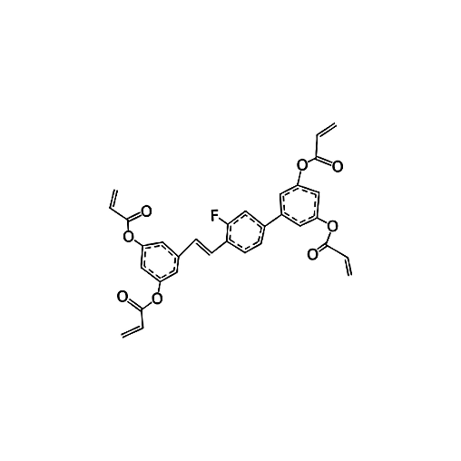 C=CC(=O)Oc1cc(/C=C/c2ccc(-c3cc(OC(=O)C=C)cc(OC(=O)C=C)c3)cc2F)cc(OC(=O)C=C)c1